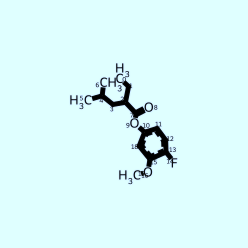 CCC(CC(C)C)C(=O)Oc1ccc(F)c(OC)c1